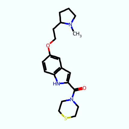 CN1CCCC1CCOc1ccc2[nH]c(C(=O)N3CCSCC3)cc2c1